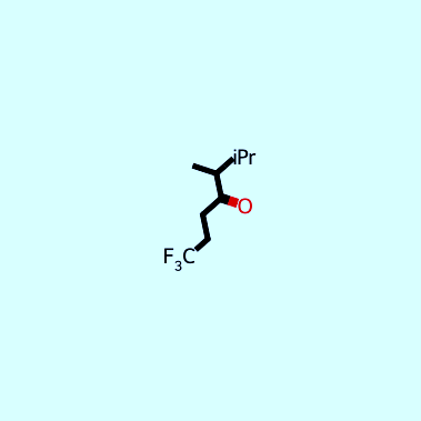 CC(C)C(C)C(=O)CCC(F)(F)F